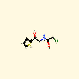 O=C(CCl)NCC(=O)c1cccs1